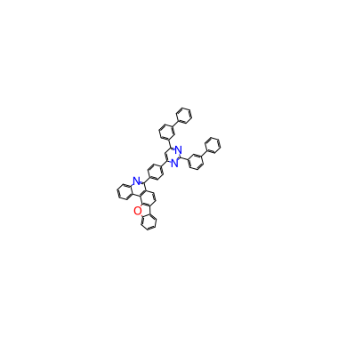 c1ccc(-c2cccc(-c3cc(-c4ccc(-c5nc6ccccc6c6c5ccc5c7ccccc7oc56)cc4)nc(-c4cccc(-c5ccccc5)c4)n3)c2)cc1